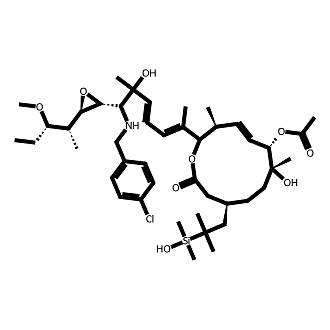 CC[C@H](OC)[C@@H](C)[C@H]1O[C@@H]1C(NCc1ccc(Cl)cc1)C(C)(O)/C=C/C=C(\C)C1OC(=O)C[C@H](CC(C)(C)[Si](C)(C)O)CC[C@@](C)(O)[C@@H](OC(C)=O)/C=C/[C@@H]1C